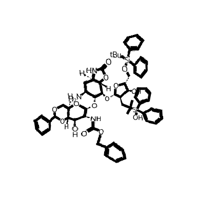 CC(C)(C[C@H]1[C@H](O[C@@H]2[C@H]3OC(=O)N[C@@H]3C[C@H](N)[C@H]2O[C@H]2O[C@@H]3COC(c4ccccc4)O[C@H]3[C@H](O)[C@H]2NC(=O)OCc2ccccc2)O[C@H](CO[Si](c2ccccc2)(c2ccccc2)C(C)(C)C)[C@H]1O)[Si](O)(c1ccccc1)c1ccccc1